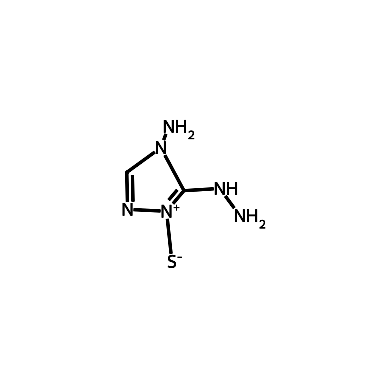 NNc1n(N)cn[n+]1[S-]